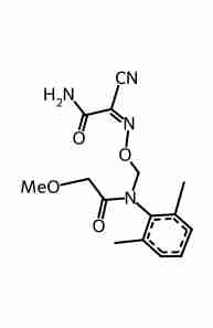 COCC(=O)N(CON=C(C#N)C(N)=O)c1c(C)cccc1C